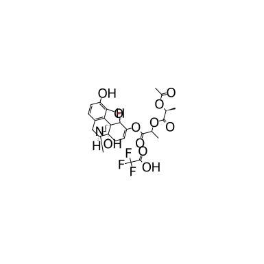 CC(=O)O[C@@H](C)C(=O)OC(C)C(=O)OC1=CC[C@@]2(O)[C@H]3Cc4ccc(O)c5c4[C@@]2(CCN3C)[C@H]1O5.O=C(O)C(F)(F)F